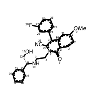 COc1ccc2c(=O)n(CCN[C@@H](CO)c3ccccc3)c(C#N)c(-c3cccc(F)c3)c2c1